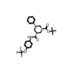 CC(C)(C)OC(=O)N1C[C@@H](C(=O)Nc2ccc(OC(F)(F)F)cc2)C[C@@H](c2ccccc2)C1